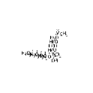 O.O.O.O.O.O.O.O.O.O.O=[N+]([O-])O.[MgH2]